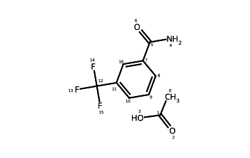 CC(=O)O.NC(=O)c1cccc(C(F)(F)F)c1